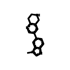 Cn1cnc2ccc(-c3cnc4c(c3)CNCC4)cc21